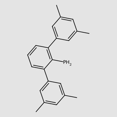 Cc1cc(C)cc(-c2cccc(-c3cc(C)cc(C)c3)c2P)c1